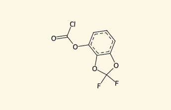 O=C(Cl)Oc1cccc2c1OC(F)(F)O2